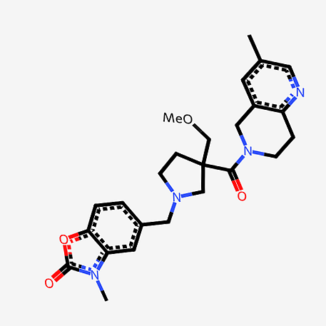 COCC1(C(=O)N2CCc3ncc(C)cc3C2)CCN(Cc2ccc3oc(=O)n(C)c3c2)C1